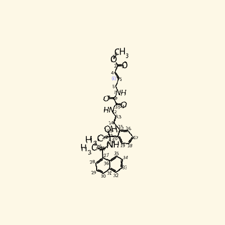 COC(=O)/C=C/CNC(=O)C(=O)NCCc1ccccc1C(C)(O)N[C@H](C)c1cccc2ccccc12